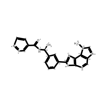 C[C@H](NC(=O)c1ccnnc1)c1cccc(-c2nc3c(ncc4ncn(C)c43)s2)c1